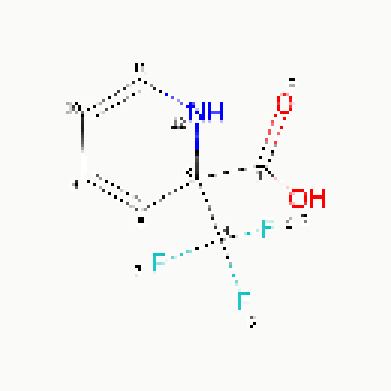 O=C(O)C1(C(F)(F)F)C=CC=CN1